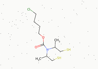 CC(CS)N(C(=O)OCCCCCl)C(C)CS